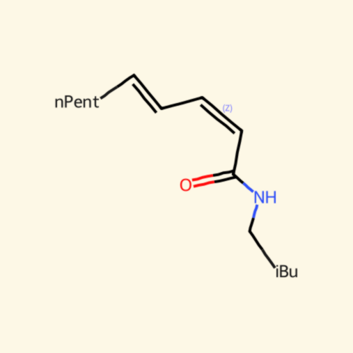 CCCCCC=C/C=C\C(=O)NCC(C)CC